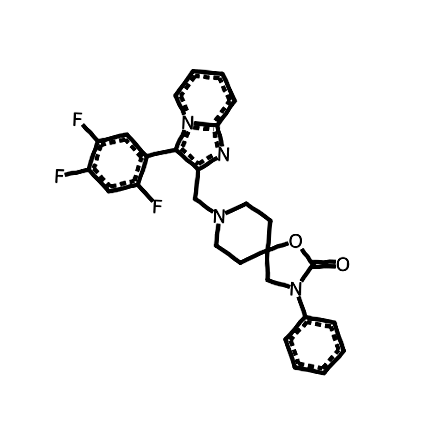 O=C1OC2(CCN(Cc3nc4ccccn4c3-c3cc(F)c(F)cc3F)CC2)CN1c1ccccc1